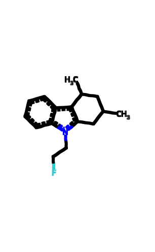 CC1Cc2c(c3ccccc3n2CCF)C(C)C1